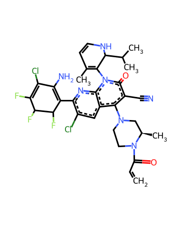 C=CC(=O)N1CCN(c2c(C#N)c(=O)n(C3=C(C)C=CNC3C(C)C)c3nc(C4=C(N)C(Cl)=C(F)C(F)C4F)c(Cl)cc23)C[C@H]1C